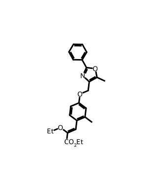 CCOC(=O)C(=Cc1ccc(OCc2nc(-c3ccccc3)oc2C)cc1C)OCC